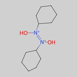 O/[N+](C1CCCCC1)=[N+](/O)C1CCCCC1